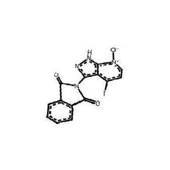 O=C1c2ccccc2C(=O)N1c1n[nH]c2c1c(I)cc[n+]2[O-]